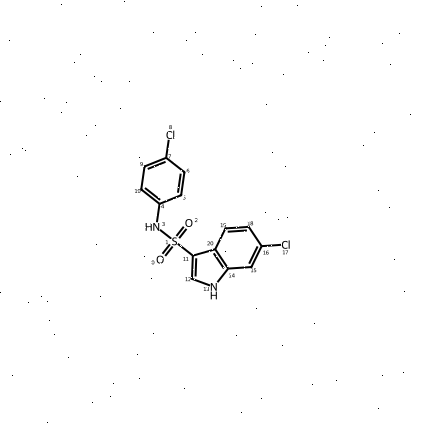 O=S(=O)(Nc1ccc(Cl)cc1)c1c[nH]c2cc(Cl)ccc12